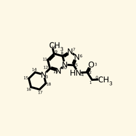 CCC(=O)Nc1nnc2c(C)cc(N3CCCCC3)nn12